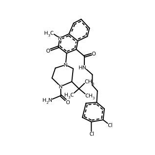 Cn1c(=O)c(N2CCN(C(N)=O)C(C(C)(C)C)C2)c(C(=O)NCCCc2ccc(Cl)c(Cl)c2)c2ccccc21